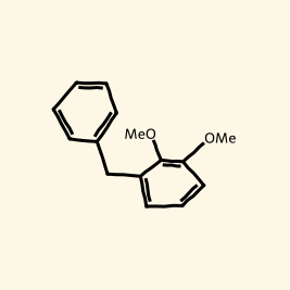 COc1cccc(Cc2ccccc2)c1OC